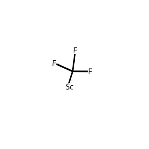 F[C](F)(F)[Sc]